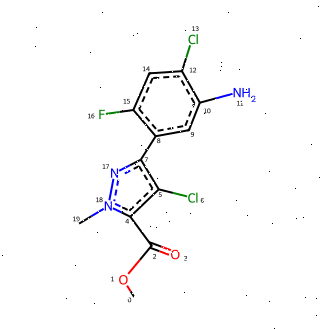 COC(=O)c1c(Cl)c(-c2cc(N)c(Cl)cc2F)nn1C